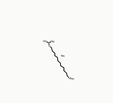 CCCCCCCCCCCCCCCCCCCCCCOB(O)O.[KH]